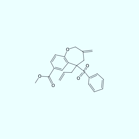 C=CCC1(S(=O)(=O)c2ccccc2)CC(=C)COc2ccc(C(=O)OC)cc21